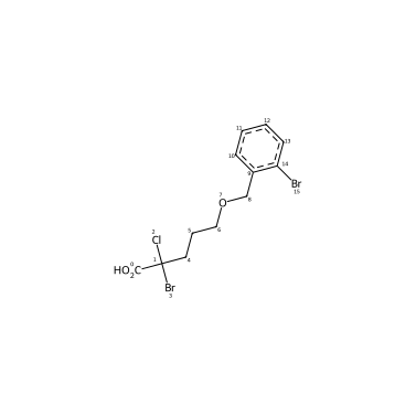 O=C(O)C(Cl)(Br)CCCOCc1ccccc1Br